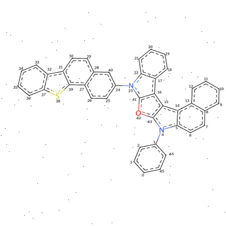 c1ccc(-n2c3ccc4ccccc4c3c3c4c5ccccc5n(-c5ccc6c(ccc7c8ccccc8sc67)c5)c4oc32)cc1